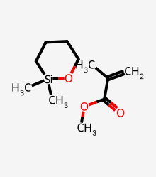 C=C(C)C(=O)OC.C[Si]1(C)CCCCO1